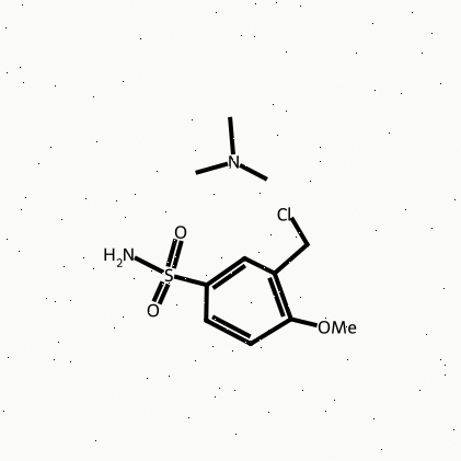 CN(C)C.COc1ccc(S(N)(=O)=O)cc1CCl